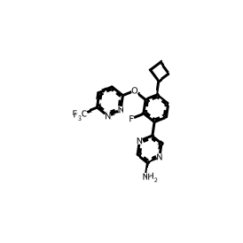 Nc1cnc(-c2ccc(C3CCC3)c(Oc3ccc(C(F)(F)F)nn3)c2F)cn1